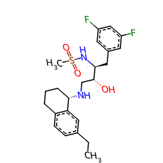 CCc1ccc2c(c1)[C@@H](NC[C@@H](O)[C@H](Cc1cc(F)cc(F)c1)NS(C)(=O)=O)CCC2